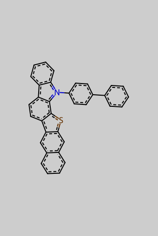 c1ccc(-c2ccc(-n3c4ccccc4c4ccc5c6cc7ccccc7cc6sc5c43)cc2)cc1